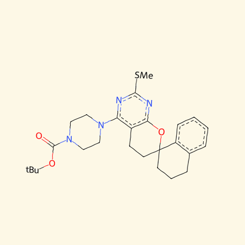 CSc1nc2c(c(N3CCN(C(=O)OC(C)(C)C)CC3)n1)CCC1(CCCc3ccccc31)O2